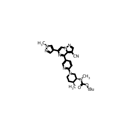 C[C@H]1CCN(c2ccc(-c3nc(-c4cnn(C)c4)cn4ncc(C#N)c34)cn2)C[C@H]1N(C)C(=O)OC(C)(C)C